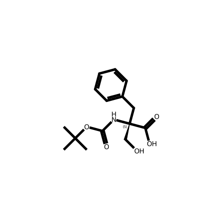 CC(C)(C)OC(=O)N[C@](CO)(Cc1ccccc1)C(=O)O